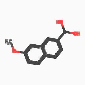 OB(O)c1ccc2ccc(OC(F)(F)F)cc2c1